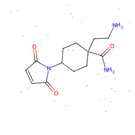 NCCC1(C(N)=O)CCC(N2C(=O)C=CC2=O)CC1